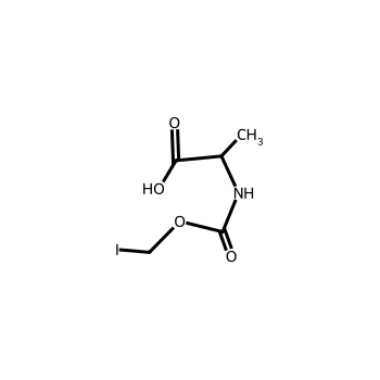 CC(NC(=O)OCI)C(=O)O